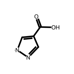 O=C(O)C1=C[N]N=C1